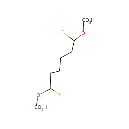 O=C(O)OC(F)CCCCC(F)OC(=O)O